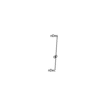 CCCCCCCCCCCCCCCCCCCCCCCCCCCCCCCCCCOC(=O)CCCCCCCCCCCCCCCCCCCCCCCCC